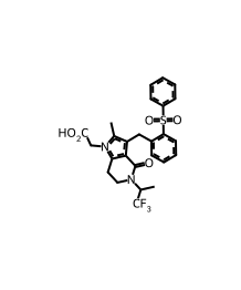 Cc1c(Cc2ccccc2S(=O)(=O)c2ccccc2)c2c(n1CC(=O)O)CCN(C(C)C(F)(F)F)C2=O